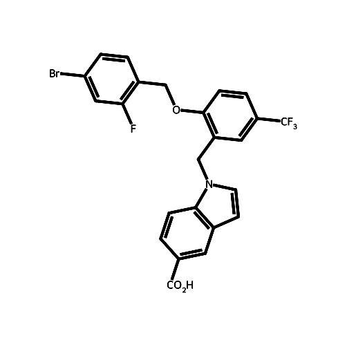 O=C(O)c1ccc2c(ccn2Cc2cc(C(F)(F)F)ccc2OCc2ccc(Br)cc2F)c1